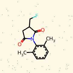 Cc1cccc(C)c1N1C(=O)CC(CF)C1=O